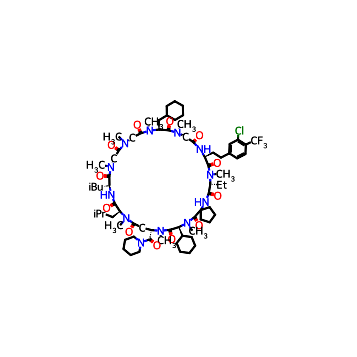 CC[C@@H]1C(=O)NC2(CCCC2)C(=O)N(C)[C@@H](C2CCCCC2)C(=O)N(C)[C@H](C(=O)N2CCCCC2)CC(=O)N(C)[C@@H](CC(C)C)C(=O)N[C@@H]([C@@H](C)CC)C(=O)N(C)CC(=O)N(C)CC(=O)N(C)[C@@H](CC2CCCCC2)C(=O)N(C)CC(=O)N[C@@H](CCc2ccc(C(F)(F)F)c(Cl)c2)C(=O)N1C